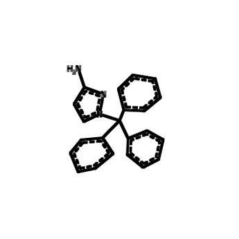 Nc1ccn(C(c2ccccc2)(c2ccccc2)c2ccccc2)n1